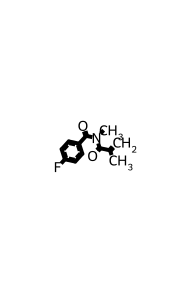 C=C(C)C(=O)N(C)C(=O)c1ccc(F)cc1